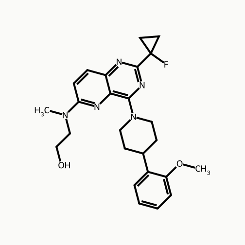 COc1ccccc1C1CCN(c2nc(C3(F)CC3)nc3ccc(N(C)CCO)nc23)CC1